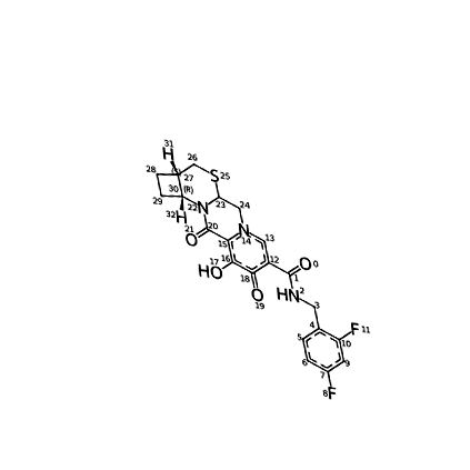 O=C(NCc1ccc(F)cc1F)c1cn2c(c(O)c1=O)C(=O)N1C(C2)SC[C@H]2CC[C@H]21